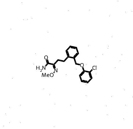 CON=C(CCc1ccccc1COc1ccccc1Cl)C(N)=O